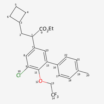 CCOC(=O)C(CC1CCC1)c1cc(Cl)c(OCC(F)(F)F)c(-c2ccc(C)cc2)c1